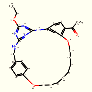 COC(=O)c1ccc2cc1OCCCCCCCCOc1ccc(cc1)CNc1nc(nc(OCC(F)(F)F)n1)N2